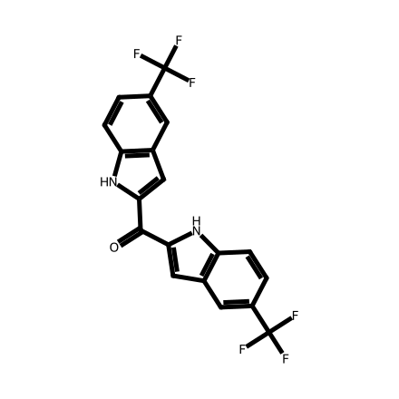 O=C(c1cc2cc(C(F)(F)F)ccc2[nH]1)c1cc2cc(C(F)(F)F)ccc2[nH]1